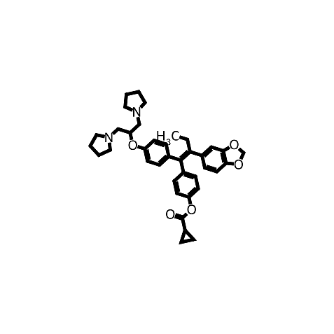 CCC(=C(c1ccc(OC(=O)C2CC2)cc1)c1ccc(OC(CN2CCCC2)CN2CCCC2)cc1)c1ccc2c(c1)OCO2